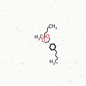 CCCCc1ccc([C@H]2CO[C@](C)(CCCC)OC2)cc1